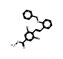 COC(=O)c1cc(Br)c(C=Cc2ccccc2OCc2ccccc2)c(Br)c1